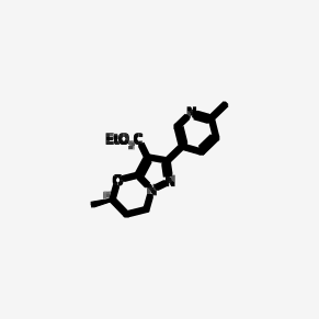 CCOC(=O)c1c(-c2ccc(C)nc2)nn2c1O[C@H](C)CC2